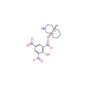 C1CC[C@@H]2CNCC[C@@H]2C1.O=[N+]([O-])c1cc([N+](=O)[O-])c(O)c([N+](=O)[O-])c1